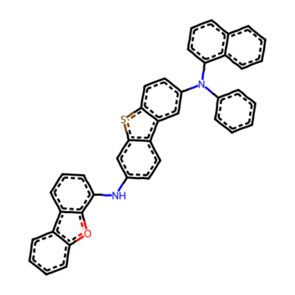 c1ccc(N(c2ccc3sc4cc(Nc5cccc6c5oc5ccccc56)ccc4c3c2)c2cccc3ccccc23)cc1